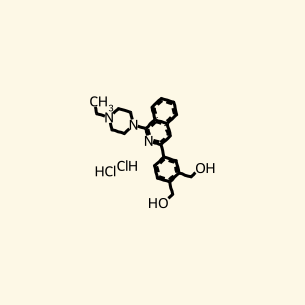 CCN1CCN(c2nc(-c3ccc(CO)c(CO)c3)cc3ccccc23)CC1.Cl.Cl